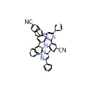 N#Cc1ccc(-c2ccc3c(c2)c2ccccc2n3-c2c(-c3cc(-c4ccccc4)nc(-c4ccccc4)n3)cc(C#N)cc2-c2nc(-c3ccccc3)cc(-c3ccccc3)n2)cc1